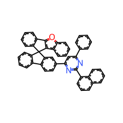 c1ccc(-c2cc(-c3ccc4c(c3)C3(c5ccccc5-4)c4ccccc4-c4oc5ccccc5c43)nc(-c3cccc4ccccc34)n2)cc1